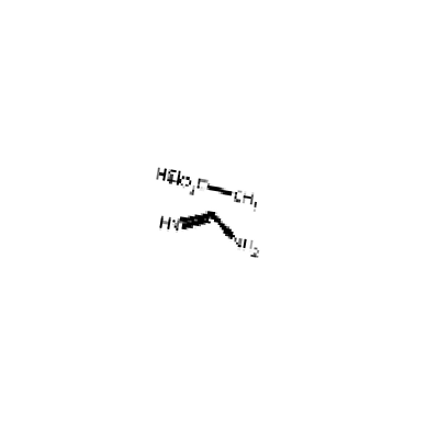 CC(=O)O.Cl.N=CN